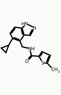 Cc1ccc(C(=O)NCc2c(C3CC3)ccc3[nH]ncc23)s1